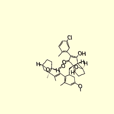 COC1=CC(C)=C(/C(C=O)=C(\C)[C@@]2(C)C[C@@H]3CC[C@H]2O3)C(C[C@@]23C(=O)C(c4cc(Cl)ccc4C)=C(O)[C@@H]2[C@H]2CC[C@@H]3O2)C1